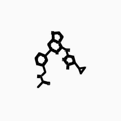 CC(=O)NCc1cccc(-c2cc3nccn3c(Nc3cc(C4CC4)[nH]n3)n2)c1